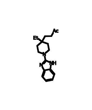 CCC1(CCC(C)=O)CCN(c2nc3ccccc3[nH]2)CC1